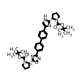 CC(C)(C)OC(=O)N1CCC[C@H]1c1nc(-c2ccc(-c3ccc(-c4noc([C@@H]5CCCN5C(=O)OC(C)(C)C)n4)cc3)cc2)c[nH]1